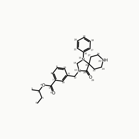 CCC(C)OC(=O)c1cccc(CN2CN(c3ccccc3)C3(CCNCC3)C2=O)c1